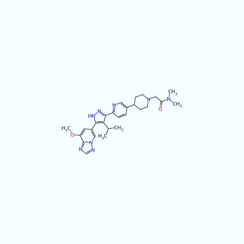 COc1cc(-c2[nH]nc(-c3ccc(C4CCN(CC(=O)N(C)C)CC4)cn3)c2C(C)C)cn2ncnc12